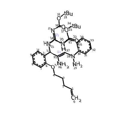 C=CCCCOc1ccccc1C(N/C(=N/C(=O)OC(C)(C)C)NC(=O)OC(C)(C)C)/C(N)=C/N(N)c1ccccc1